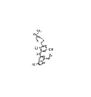 N#Cc1cc(Nc2nc(NC3CC3)c3ncc(C#N)n3n2)c(Cl)c(C2CCN(C(=O)CC(F)(F)F)CC2)c1